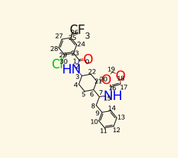 O=C(NC1CCC(C(Cc2ccccc2)NC2=COCO2)CC1)c1cc(C(F)(F)F)ccc1Cl